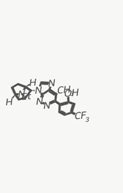 CCN1[C@H]2CC[C@@H]1[C@H](n1cnc3c(C)c(-c4ccc(C(F)(F)F)cc4O)nnc31)CC2